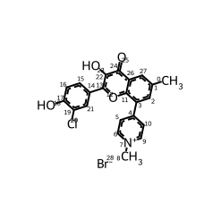 Cc1cc(-c2cc[n+](C)cc2)c2oc(-c3ccc(O)c(Cl)c3)c(O)c(=O)c2c1.[Br-]